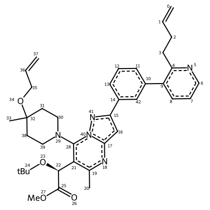 C=CCCc1ncccc1-c1cccc(-c2cc3nc(C)c([C@H](OC(C)(C)C)C(=O)OC)c(N4CCC(C)(OCC=C)CC4)n3n2)c1